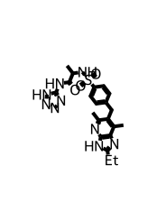 CCc1nc2c(C)c(Cc3ccc(S(=O)(=O)NC(C)C(=O)Nc4nnn[nH]4)cc3)c(C)nc2[nH]1